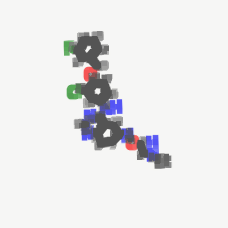 CCNCCON=C1C=Cc2ncnc(Nc3ccc(OCc4cccc(F)c4)c(Cl)c3)c2C1